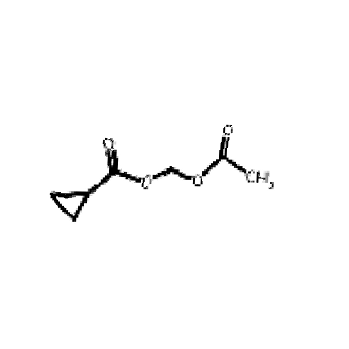 CC(=O)OCOC(=O)C1CC1